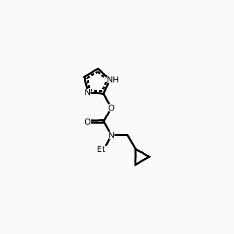 CCN(CC1CC1)C(=O)Oc1ncc[nH]1